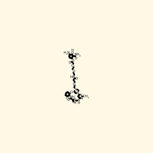 Cc1nc(Nc2ncc(C(=O)Nc3c(C)cccc3Cl)s2)cc(N2CCN(CCOCCC(=O)NCCOCCOCC(=O)Oc3ccc(N)c(O)c3C(N)=O)CC2)n1